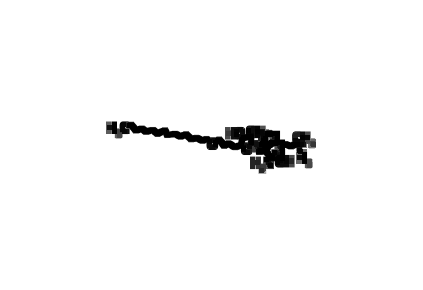 CCCCCCCCCCCCCCCCOCC[CH]CC1O[C@@H](n2cc(C(N)=NO)c3c(NCCC(C)C)ncnc32)[C@H](O)C1O